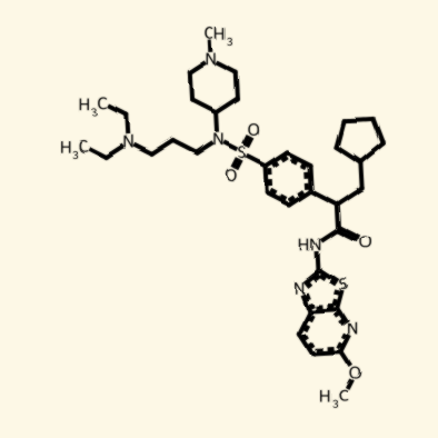 CCN(CC)CCCN(C1CCN(C)CC1)S(=O)(=O)c1ccc(C(CC2CCCC2)C(=O)Nc2nc3ccc(OC)nc3s2)cc1